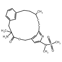 CC1CCc2cccc(c2)CC(C)(N)C(=O)OCc2cc(nc(N(C)S(C)(=O)=O)c2)CC1